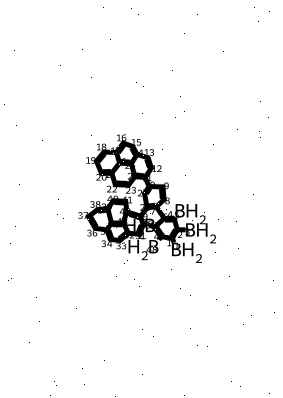 Bc1c(B)c(B)c(-c2ccc(-c3ccc4ccc5cccc6ccc3c4c56)cc2-c2ccc3ccc4cccc5ccc2c3c45)c(B)c1B